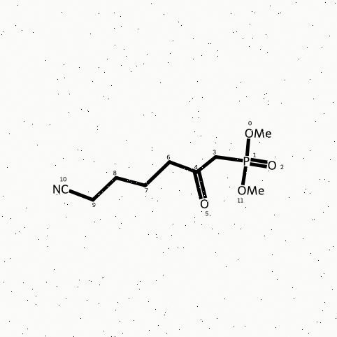 COP(=O)(CC(=O)CCCCC#N)OC